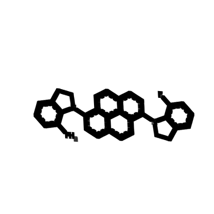 Fc1cccc2c1N(c1ccc3ccc4c(N5CCc6cccc(P)c65)ccc5ccc1c3c54)CC2